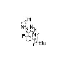 C[C@@H]1CN(c2ncnc3c2c(-c2ccccc2F)cn3-c2cc(C#N)ccn2)[C@@H](C)CN1C(=O)C(C)(C)C